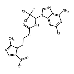 Cc1ncc([N+](=O)[O-])n1CCOC(=O)NC(n1cnc2c(N)nc(Cl)nc21)C(Cl)(Cl)Cl